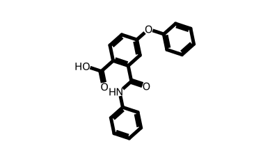 O=C(O)c1ccc(Oc2ccccc2)cc1C(=O)Nc1ccccc1